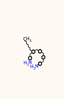 CCCCCCCCc1cc(Cc2ccc(Cc3ccc(Cc4ccc(N)cc4)cc3)cc2)ccc1Cc1ccc(N)cc1